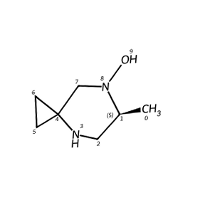 C[C@H]1CNC2(CC2)CN1O